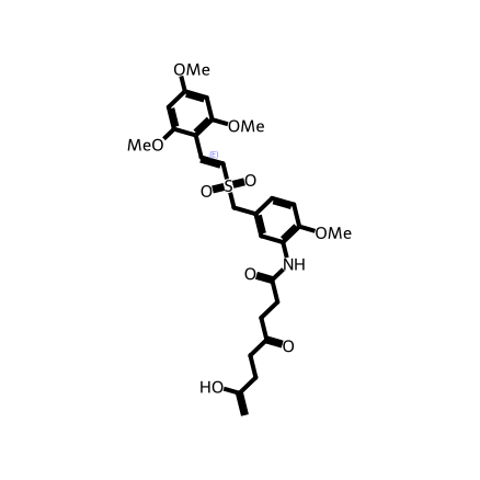 C=C(O)CCC(=O)CCC(=O)Nc1cc(CS(=O)(=O)/C=C/c2c(OC)cc(OC)cc2OC)ccc1OC